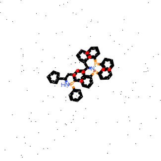 c1ccc(C(CCCCC(c2ccccc2)N(P(c2ccccc2)c2ccccc2)P(c2ccccc2)c2ccccc2)NP(c2ccccc2)c2ccccc2)cc1